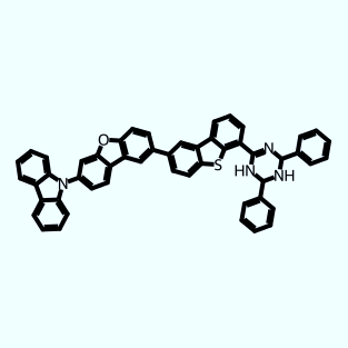 c1ccc(C2N=C(c3cccc4c3sc3ccc(-c5ccc6oc7cc(-n8c9ccccc9c9ccccc98)ccc7c6c5)cc34)NC(c3ccccc3)N2)cc1